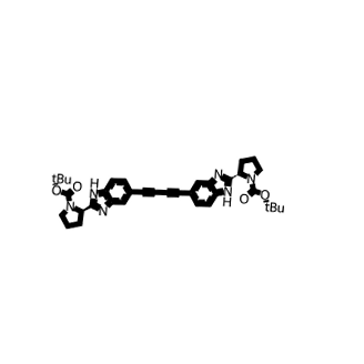 CC(C)(C)OC(=O)N1CCC[C@@H]1c1nc2cc(C#CC#Cc3ccc4[nH]c([C@@H]5CCCN5C(=O)OC(C)(C)C)nc4c3)ccc2[nH]1